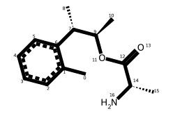 Cc1ccccc1[C@H](C)[C@@H](C)OC(=O)[C@H](C)N